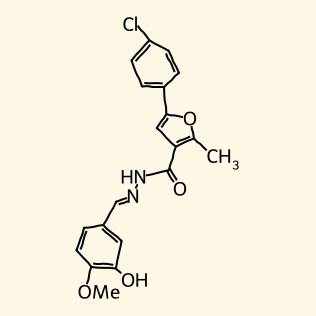 COc1ccc(/C=N/NC(=O)c2cc(-c3ccc(Cl)cc3)oc2C)cc1O